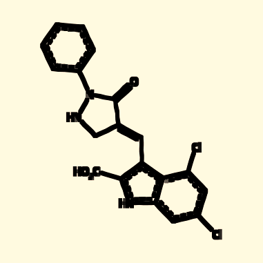 O=C(O)c1[nH]c2cc(Cl)cc(Cl)c2c1/C=C1\CNN(c2ccccc2)C1=O